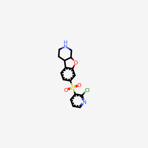 O=S(=O)(c1ccc2c(c1)OC1CNCCC21)c1cccnc1Cl